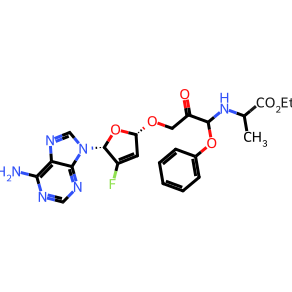 CCOC(=O)C(C)NC(Oc1ccccc1)C(=O)CO[C@@H]1C=C(F)[C@H](n2cnc3c(N)ncnc32)O1